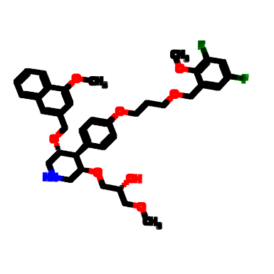 COC[C@@H](O)CO[C@H]1CNC[C@H](OCc2cc(OC)c3ccccc3c2)[C@H]1c1ccc(OCCCOCc2cc(F)cc(F)c2OC)cc1